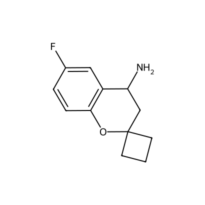 NC1CC2(CCC2)Oc2ccc(F)cc21